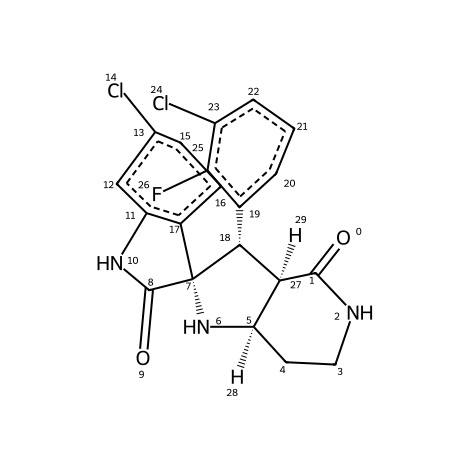 O=C1NCC[C@H]2N[C@@]3(C(=O)Nc4cc(Cl)ccc43)[C@H](c3cccc(Cl)c3F)[C@@H]12